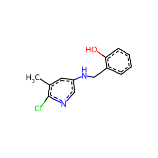 Cc1cc(NCc2ccccc2O)cnc1Cl